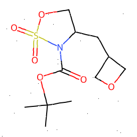 CC(C)(C)OC(=O)N1C(CC2COC2)COS1(=O)=O